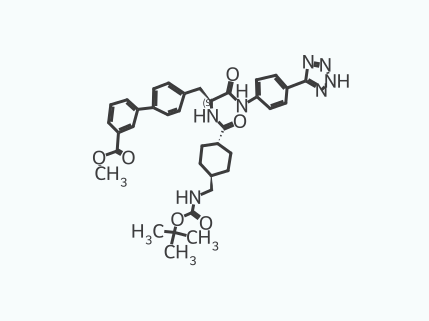 COC(=O)c1cccc(-c2ccc(C[C@H](NC(=O)[C@H]3CC[C@H](CNC(=O)OC(C)(C)C)CC3)C(=O)Nc3ccc(-c4nn[nH]n4)cc3)cc2)c1